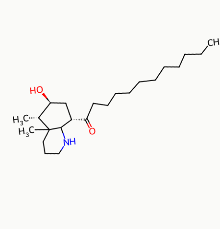 CCCCCCCCCCCC(=O)[C@H]1C[C@H](O)[C@@H](C)C2(C)CCCNC12